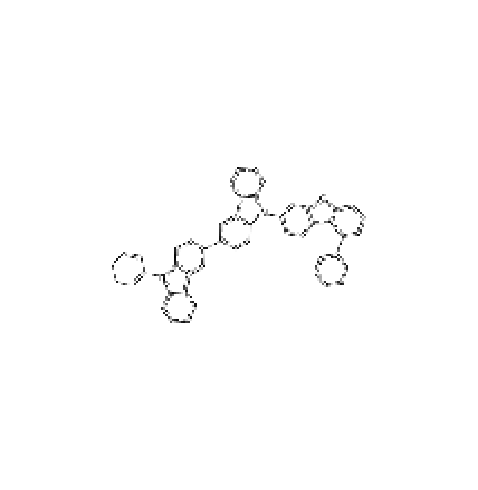 C1=CC(n2c3ccccc3c3cc(-c4ccc5c(c4)c4ccccc4n5-c4ccc5c(c4)oc4cccc(-c6ccccc6)c45)ccc32)=CCC1